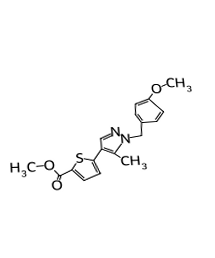 COC(=O)c1ccc(-c2cnn(Cc3ccc(OC)cc3)c2C)s1